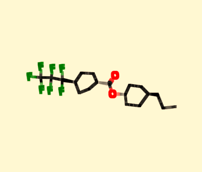 CCC[C@H]1CC[C@H](OC(=O)[C@H]2CC[C@H](C(F)(F)C(F)(F)C(F)(F)F)CC2)CC1